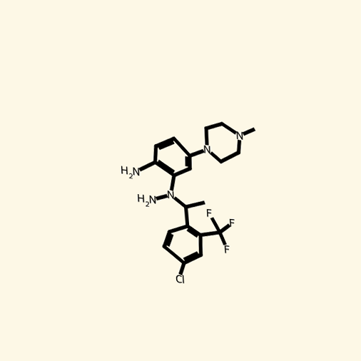 CC(c1ccc(Cl)cc1C(F)(F)F)N(N)c1cc(N2CCN(C)CC2)ccc1N